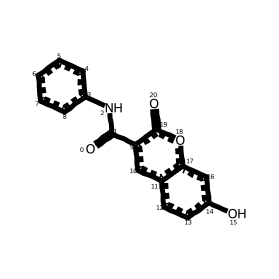 O=C(Nc1ccccc1)c1cc2ccc(O)cc2oc1=O